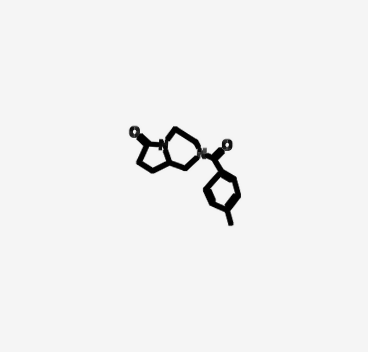 Cc1ccc(C(=O)N2CCN3C(=O)CCC3C2)cc1